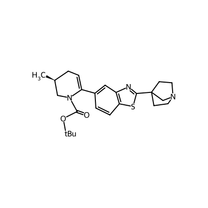 C[C@H]1CC=C(c2ccc3sc(C45CCN(CC4)C5)nc3c2)N(C(=O)OC(C)(C)C)C1